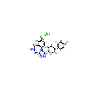 Cl.Fc1ccc([C@H]2CC[C@@H](c3nnc4n3-c3ccc(Cl)cc3CNC4)CC2)cc1